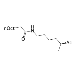 CCCCCCCCCC(=O)NCCCC[C@H](C)C(C)=O